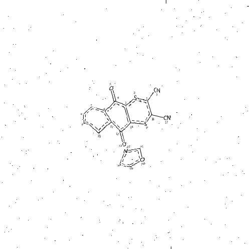 N#Cc1sc2c(=O)c3ccccc3c(=O)c=2sc1C#N.c1cocn1